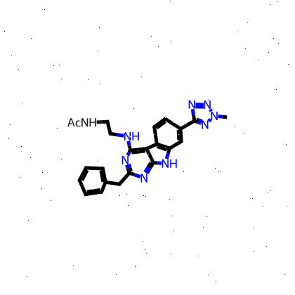 CC(=O)NCCNc1nc(Cc2ccccc2)nc2[nH]c3cc(-c4nnn(C)n4)ccc3c12